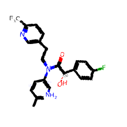 C=C(C)/C=C\C(=C/N)N(CCc1ccc(C(F)(F)F)nc1)C(=O)[C@@H](O)c1ccc(F)cc1